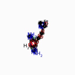 B[P@]1(=O)OC[C@H]2O[C@@H](n3cnc4c(N)ccnc43)[C@H](F)[C@@H]2O[P@@](=O)(SCc2ccc(OC(=O)c3ccc(OCCn4nnc5c4-c4ccccc4N(C(=O)CC)Cc4ccccc4-5)cc3)cc2)OC[C@H]2O[C@@H](n3cnc4c(N)ncnc43)[C@H](F)[C@@H]2O1